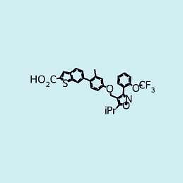 Cc1cc(OCc2c(-c3ccccc3OC(F)(F)F)noc2C(C)C)ccc1-c1ccc2cc(C(=O)O)sc2c1